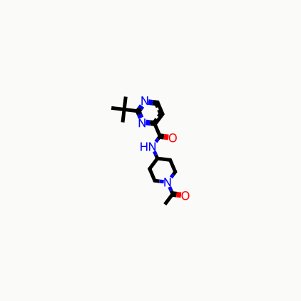 CC(=O)N1CCC(NC(=O)c2ccnc(C(C)(C)C)n2)CC1